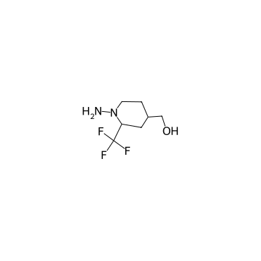 NN1CCC(CO)CC1C(F)(F)F